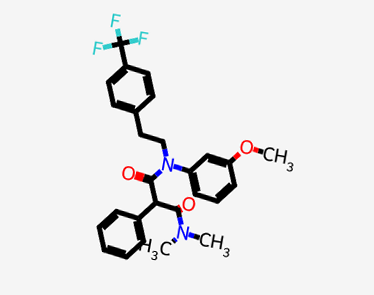 COc1cccc(N(CCc2ccc(C(F)(F)F)cc2)C(=O)C(C(=O)N(C)C)c2ccccc2)c1